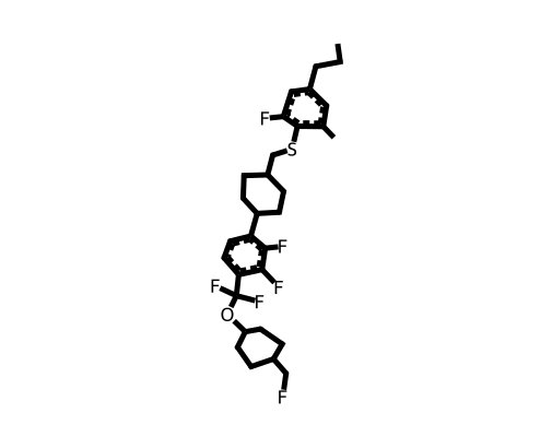 CCCc1cc(C)c(SCC2CCC(c3ccc(C(F)(F)OC4CCC(CF)CC4)c(F)c3F)CC2)c(F)c1